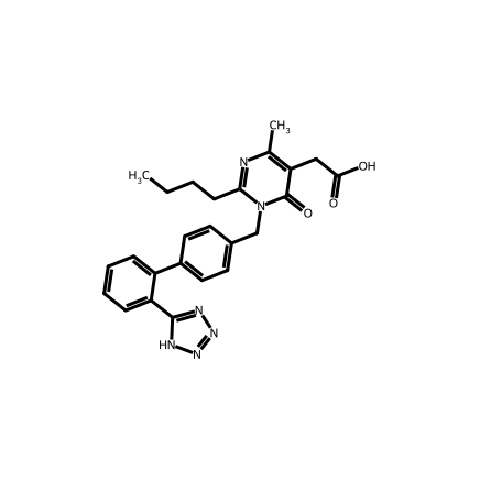 CCCCc1nc(C)c(CC(=O)O)c(=O)n1Cc1ccc(-c2ccccc2-c2nnn[nH]2)cc1